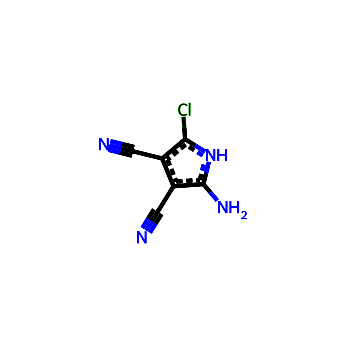 N#Cc1c(N)[nH]c(Cl)c1C#N